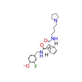 COc1ccc(CNC(=O)[C@H]2[C@H](C(=O)NCCCCN3CCCC3)[C@H]3C=C[C@@H]2C32CC2)cc1F